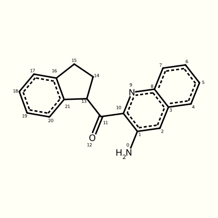 Nc1cc2ccccc2nc1C(=O)C1CCc2ccccc21